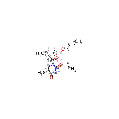 CCCCOC[C@]12CC[C@@H](C)[C@@H](C1OCCCC)[C@H](n1cc(C)c(=O)[nH]c1=O)O2